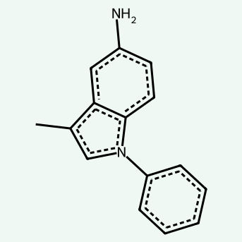 Cc1cn(-c2ccccc2)c2ccc(N)cc12